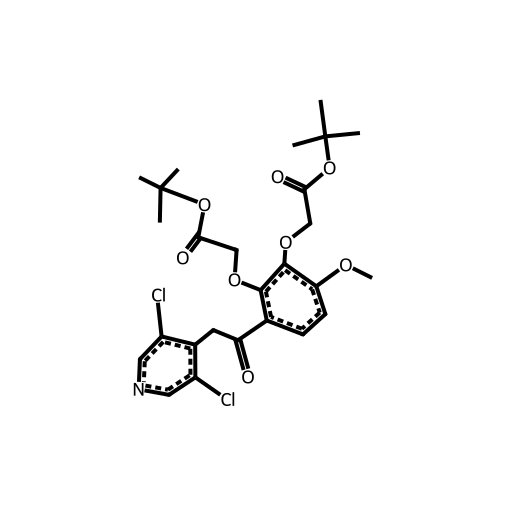 COc1ccc(C(=O)Cc2c(Cl)cncc2Cl)c(OCC(=O)OC(C)(C)C)c1OCC(=O)OC(C)(C)C